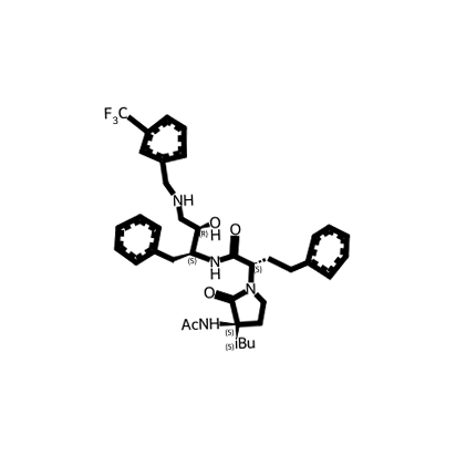 CC[C@H](C)[C@@]1(NC(C)=O)CCN([C@@H](CCc2ccccc2)C(=O)N[C@@H](Cc2ccccc2)[C@H](O)CNCc2cccc(C(F)(F)F)c2)C1=O